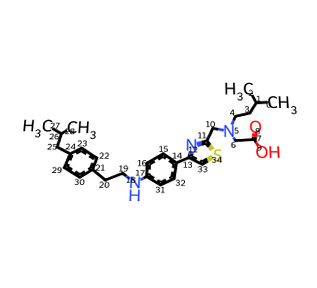 CC(C)CCN(CC(=O)O)Cc1nc(-c2ccc(NCCc3ccc(CC(C)C)cc3)cc2)cs1